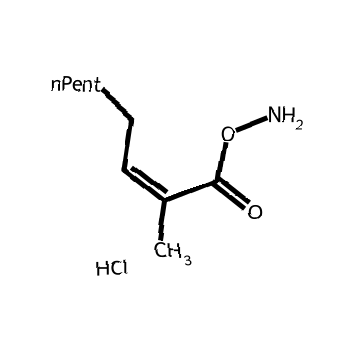 CCCCCCC=C(C)C(=O)ON.Cl